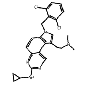 CN(C)Cc1cn(Cc2c(Cl)cccc2Cl)c2ccc3nc(NC4CC4)ncc3c12